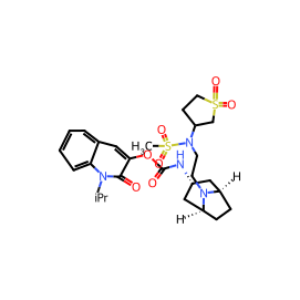 CC(C)n1c(=O)c(OC(=O)N[C@@H]2C[C@H]3CC[C@@H](C2)N3CCN(C2CCS(=O)(=O)C2)S(C)(=O)=O)cc2ccccc21